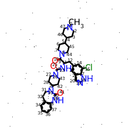 CN1CCC(C2CCN(C(=O)C(Cc3cc(Cl)c4[nH]ncc4c3)NC(=O)N3CCC(N4CCc5ccccc5NC4=O)CC3)CC2)CC1